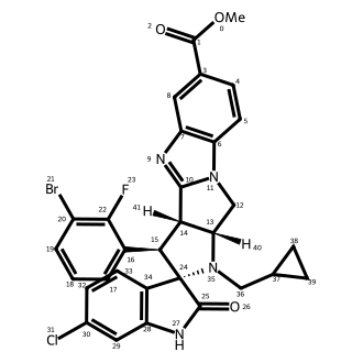 COC(=O)c1ccc2c(c1)nc1n2C[C@H]2[C@@H]1[C@H](c1cccc(Br)c1F)[C@]1(C(=O)Nc3cc(Cl)ccc31)N2CC1CC1